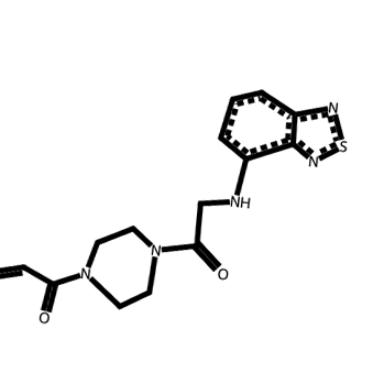 C=CC(=O)N1CCN(C(=O)CNc2cccc3nsnc23)CC1